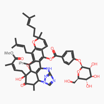 COC(=O)/C(C)=C\CC1(O)C(=O)C(C)C2C3=C(Nc4ncn2n4)c2c(OC(=O)c4ccc(O[C@@H]5O[C@H](CO)[C@@H](O)[C@H](O)[C@H]5O)cc4)c4c(c(CC=C(C)C)c2OC31C(C)C(C)C)OC(C)(CCC=C(C)C)C=C4